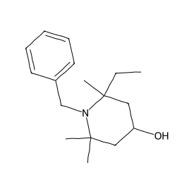 CCC1(C)CC(O)CC(C)(C)N1Cc1ccccc1